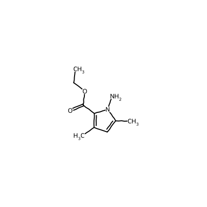 CCOC(=O)c1c(C)cc(C)n1N